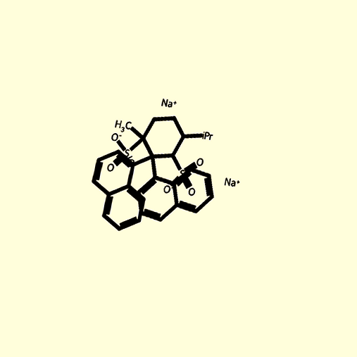 CC(C)C1CCC(C)(S(=O)(=O)[O-])C(c2cccc3ccccc23)(c2cccc3ccccc23)C1S(=O)(=O)[O-].[Na+].[Na+]